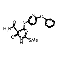 CSc1nc(Nc2ccc(Oc3ccccc3)nc2)c(C(N)=O)c(=O)[nH]1